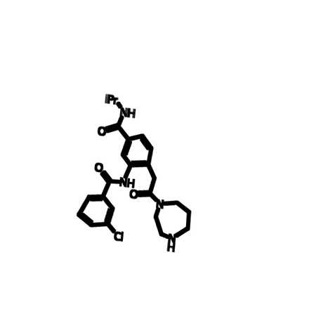 CC(C)NC(=O)c1ccc(CC(=O)N2CCCNCC2)c(NC(=O)c2cccc(Cl)c2)c1